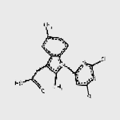 Cc1ccc2c(c1)c(CC(=O)O)c(C)n2-c1cc(Cl)nc(Cl)n1